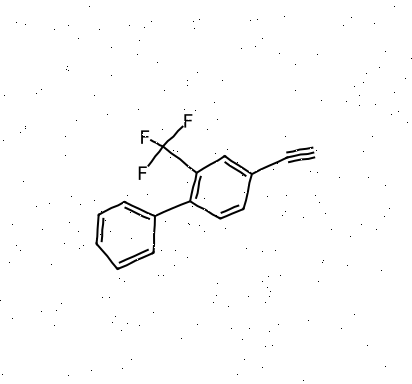 C#Cc1ccc(-c2ccccc2)c(C(F)(F)F)c1